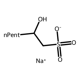 CCCCCC(O)CS(=O)(=O)[O-].[Na+]